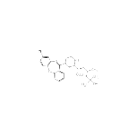 CC(C[C@H](C(=O)O)[C@H]1CN(C2=Nc3cc(Cl)ccc3Oc3ccccc32)CCN1)CC(C)(C)O